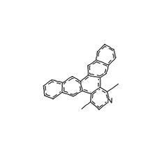 Cc1cnc(C)c2c3cc4ccccc4cc3c3cc4ccccc4cc3c12